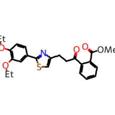 CCOc1ccc(-c2nc(CCC(=O)c3ccccc3C(=O)OC)cs2)cc1OCC